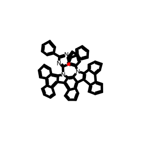 c1ccc(-c2nc(-c3ccccc3)nc(-n3c4c5ccccc5c5ccccc5c4c4c5ccccc5c5c6c7ccccc7c7ccccc7c6n(-c6ccccc6)c5c43)n2)cc1